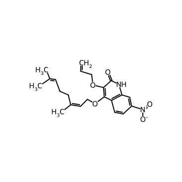 C=CCOc1c(OCC=C(C)CCC=C(C)C)c2ccc([N+](=O)[O-])cc2[nH]c1=O